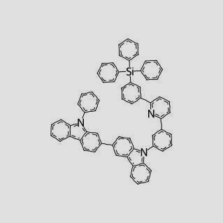 c1ccc(-n2c3ccccc3c3ccc(-c4ccc5c(c4)c4ccccc4n5-c4cccc(-c5cccc(-c6cccc([Si](c7ccccc7)(c7ccccc7)c7ccccc7)c6)n5)c4)cc32)cc1